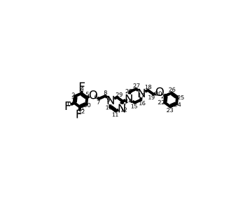 Fc1cc(F)c(OCCN2C=CN=C(N3CCN(CCOc4ccccc4)CC3)C2)cc1F